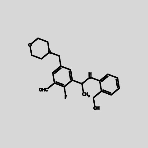 C[C](Nc1ccccc1CO)c1cc(CN2CCOCC2)cc(C=O)c1F